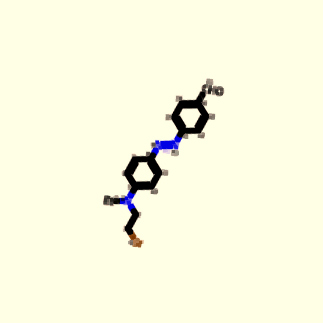 CCN(CCBr)c1ccc(/N=N/c2ccc(C=O)cc2)cc1